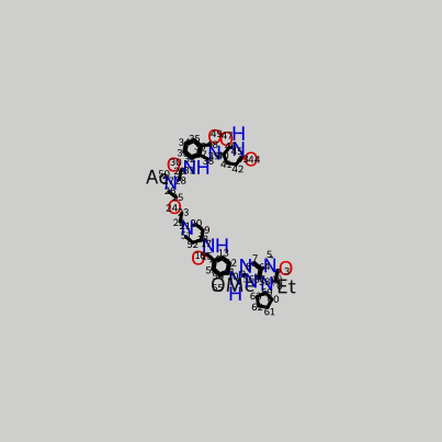 CC[C@@H]1C(=O)N(C)c2cnc(Nc3ccc(C(=O)NC4CCN(CCOCCN(CC(=O)Nc5cccc6c5CN(C5CCC(=O)NC5=O)C6=O)C(C)=O)CC4)cc3OC)nc2N1C1CCCC1